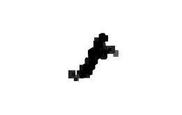 CC(C)c1nnc(N(C(N)=O)c2cccc(CC(=O)Cc3cnc(N)nc3)c2)s1